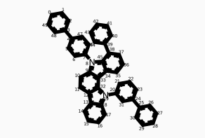 c1ccc(-c2ccc(-n3c4ccc5c6ccccc6n(-c6cccc(-c7ccccc7)c6)c5c4c4cccc(-c5ccccc5)c43)cc2)cc1